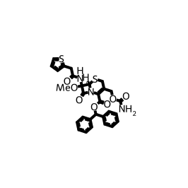 COC1(NC(=O)Cc2cccs2)C(=O)N2C(C(=O)OC(c3ccccc3)c3ccccc3)=C(COC(N)=O)CS[C@H]21